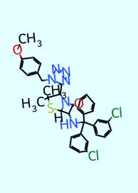 COc1ccc(Cn2nnnc2C2N3C(=O)C(NC(c4ccccc4)(c4cccc(Cl)c4)c4cccc(Cl)c4)[C@H]3SC2(C)C)cc1